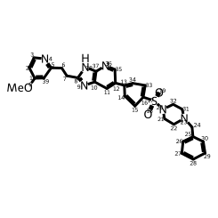 COc1ccnc(CCc2nc3cc(-c4ccc(S(=O)(=O)N5CCN(Cc6ccccc6)CC5)cc4)cnc3[nH]2)c1